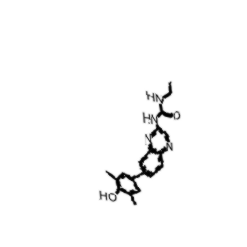 CCNC(=O)Nc1cnc2ccc(-c3cc(C)c(O)c(C)c3)cc2n1